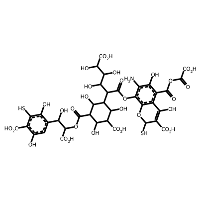 Nc1c(O)c(C(=O)OC(=O)C(=O)O)c2c(c1OC(=O)C(C(O)C(O)C(O)C(=O)O)C1C(O)C(C(=O)O)C(O)C(C(=O)OC(C(=O)O)C(O)c3cc(O)c(C(=O)O)c(S)c3O)C1O)OC(S)C(C(=O)O)=C2O